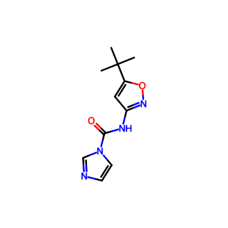 CC(C)(C)c1cc(NC(=O)n2ccnc2)no1